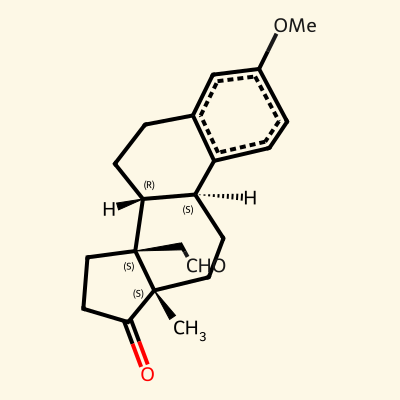 COc1ccc2c(c1)CC[C@@H]1[C@@H]2CC[C@]2(C)C(=O)CC[C@]12CC=O